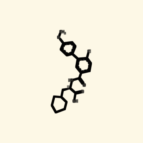 COc1ccc(-c2cc(C(=O)N[C@H](CC3CCCCC3)C(=O)O)ccc2Cl)cc1